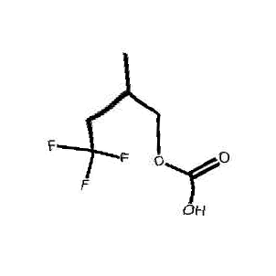 CC(COC(=O)O)CC(F)(F)F